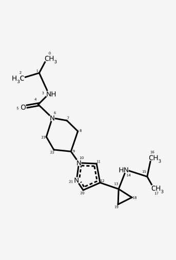 CC(C)NC(=O)N1CCC(n2cc(C3(NC(C)C)CC3)cn2)CC1